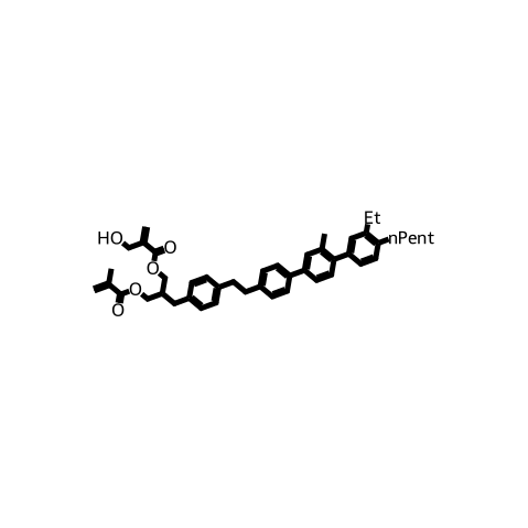 C=C(C)C(=O)OCC(COC(=O)C(=C)CO)Cc1ccc(CCc2ccc(-c3ccc(-c4ccc(CCCCC)c(CC)c4)c(C)c3)cc2)cc1